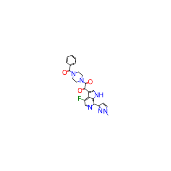 Cn1ccc(-c2ncc(F)c3c(C(=O)C(=O)N4CCN(C(=O)c5ccccc5)CC4)c[nH]c23)n1